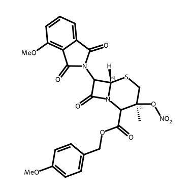 COc1ccc(COC(=O)C2N3C(=O)C(N4C(=O)c5cccc(OC)c5C4=O)[C@@H]3SC[C@@]2(C)O[N+](=O)[O-])cc1